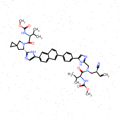 C=C[C@H](C#N)CN(Cc1ncc(-c2ccc(-c3ccc4cc(-c5cnc([C@@H]6CC7(CC7)CN6C(=O)[C@@H](NC(=O)OC)C(C)C)[nH]5)ccc4c3)cc2)[nH]1)C(=O)[C@@H](NC(=O)OC)C(C)C